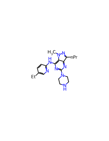 CCCc1nn(C)c2c(Nc3ccc(CC)cn3)nc(N3CCNCC3)nc12